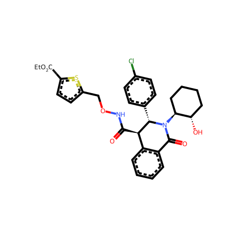 CCOC(=O)c1ccc(CONC(=O)[C@@H]2c3ccccc3C(=O)N([C@H]3CCCC[C@@H]3O)[C@H]2c2ccc(Cl)cc2)s1